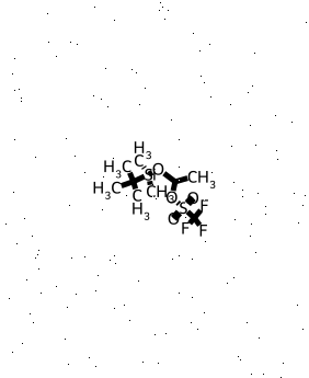 CC(O[Si](C)(C)C(C)(C)C)OS(=O)(=O)C(F)(F)F